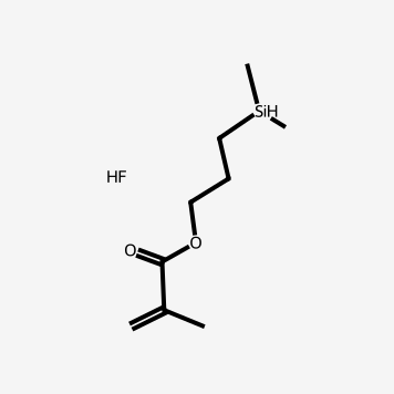 C=C(C)C(=O)OCCC[SiH](C)C.F